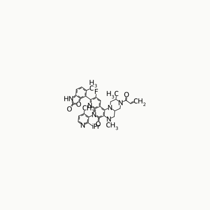 C=CC(=O)N1CC2CN(C)c3c(c4cc(F)c(-c5c(C)ccc6[nH]c(=O)oc56)nc4n(-c4c(C)ccnc4C(C)C)c3=O)N2CC1C